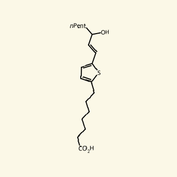 CCCCCC(O)/C=C/c1ccc(CCCCCCC(=O)O)s1